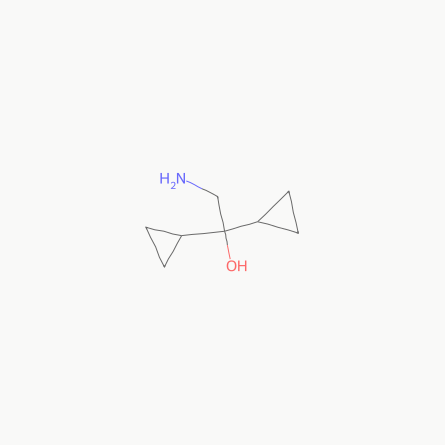 NCC(O)(C1CC1)C1CC1